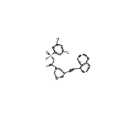 CS(=O)(=NC(=O)c1cncc(C#Cc2cccc3ccccc23)c1)c1cc(Cl)cc(Cl)c1